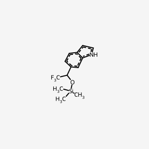 C[Si](C)(C)OC(c1ccc2cc[nH]c2c1)C(F)(F)F